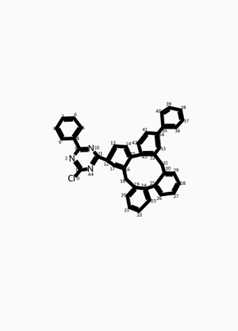 Clc1nc(-c2ccccc2)nc(-c2ccc3c(c2)Cc2ccccc2-c2ccccc2Cc2cc(-c4ccccc4)ccc2-3)n1